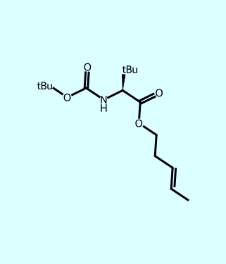 C/C=C/CCOC(=O)[C@@H](NC(=O)OC(C)(C)C)C(C)(C)C